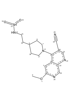 COc1cc2c(N3CCC(CCN[SH](=O)=O)CC3)c(C#N)cnc2cn1